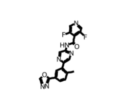 Cc1ccc(-c2nnco2)cc1-c1cnc(NC(=O)c2c(F)cncc2F)cn1